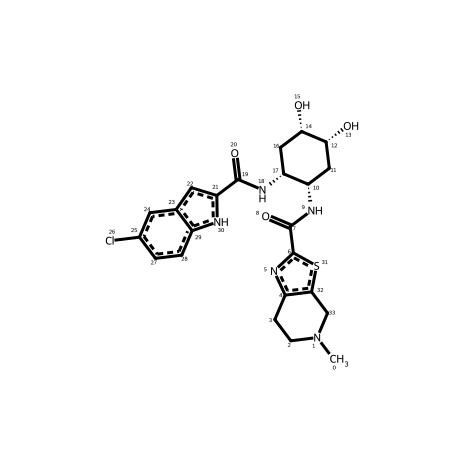 CN1CCc2nc(C(=O)N[C@H]3C[C@@H](O)[C@@H](O)C[C@H]3NC(=O)c3cc4cc(Cl)ccc4[nH]3)sc2C1